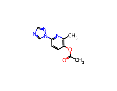 CC(=O)Oc1ccc(-n2cncn2)nc1C